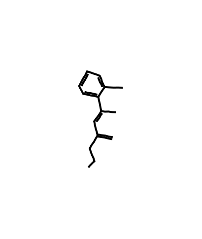 C=C(/C=C(\C)c1ccccc1C)CCC